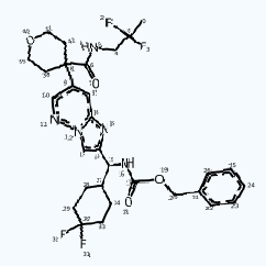 CC(F)(F)CNC(=O)C1(c2cnn3cc([C@@H](NC(=O)OCc4ccccc4)C4CCC(F)(F)CC4)nc3c2)CCOCC1